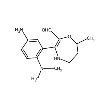 CC1CCNC(c2cc(N)ccc2N(C)C)=C(C=O)O1